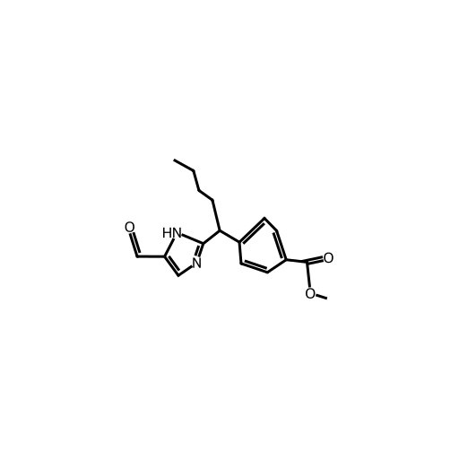 CCCCC(c1ccc(C(=O)OC)cc1)c1ncc(C=O)[nH]1